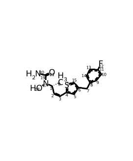 C[C@H](/C=C\c1cc(Cc2ccc(F)cc2)cs1)N(O)C(N)=O